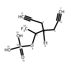 C#CCC(CC)(CC#C)C(OP(=O)(O)O)C(F)(F)F